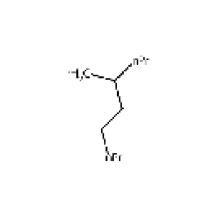 [CH2]C(CCC)CCCCC